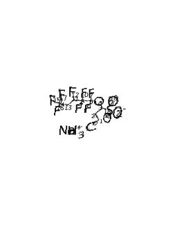 CCCC(OC(F)(F)C(F)(F)C(F)CC(F)(F)F)S(=O)(=O)[O-].[Na+]